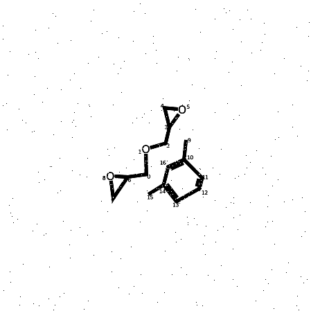 C(OCC1CO1)C1CO1.Cc1cccc(C)c1